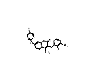 Cc1c(Cc2cccc(N)c2F)c(=O)oc2cc(Oc3ncc(F)cn3)ccc12